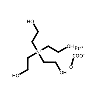 O=C([O-])[O-].OCC[N+](CCO)(CCO)CCO.[Pt+2]